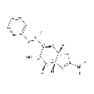 C[C@@H](Oc1ccccc1)[C@H]1O[C@@H]2SC(N(C)C)=N[C@@H]2[C@@H](O)[C@@H]1O